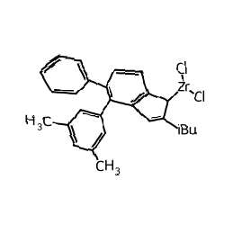 CCC(C)C1=Cc2c(ccc(-c3ccccc3)c2-c2cc(C)cc(C)c2)[CH]1[Zr]([Cl])[Cl]